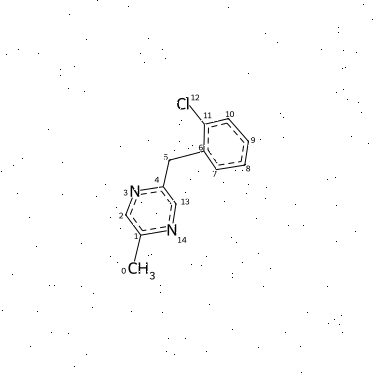 Cc1cnc(Cc2ccccc2Cl)cn1